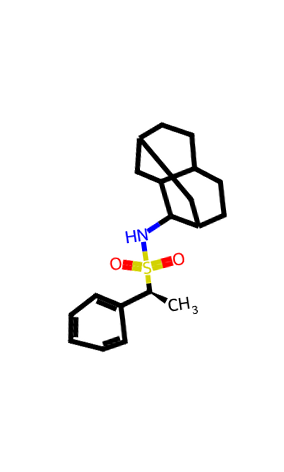 C[C@@H](c1ccccc1)S(=O)(=O)NC1C2CCC3CCC(C2)CC31